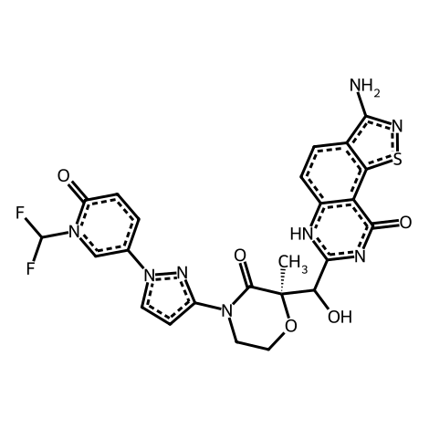 C[C@]1(C(O)c2nc(=O)c3c(ccc4c(N)nsc43)[nH]2)OCCN(c2ccn(-c3ccc(=O)n(C(F)F)c3)n2)C1=O